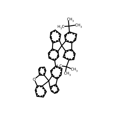 CC(C)(C)c1ccc2c(c1)C1(c3ccccc3-c3ccc(-c4ccc5c(c4)C4(c6ccccc6Oc6ccccc64)c4ccccc4-5)cc31)c1cc(C(C)(C)C)ccc1-2